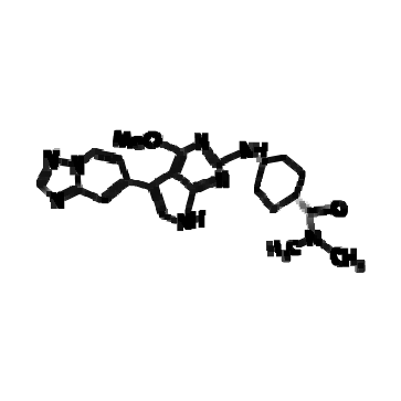 COc1nc(N[C@H]2CC[C@@H](C(=O)N(C)C)CC2)nc2[nH]cc(-c3ccn4ncnc4c3)c12